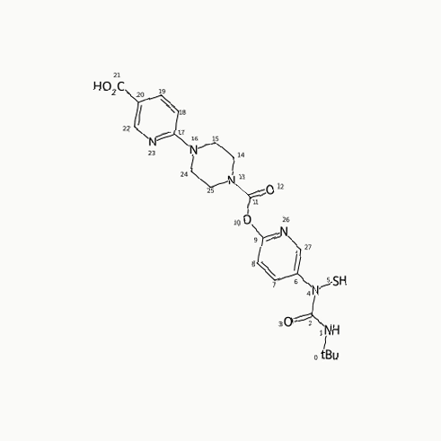 CC(C)(C)NC(=O)N(S)c1ccc(OC(=O)N2CCN(c3ccc(C(=O)O)cn3)CC2)nc1